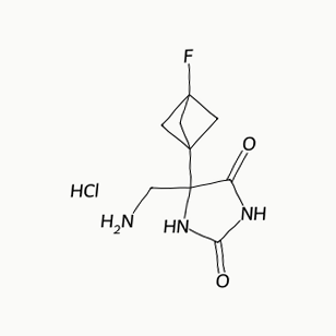 Cl.NCC1(C23CC(F)(C2)C3)NC(=O)NC1=O